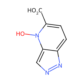 O=C(O)c1ccc2nncc-2n1O